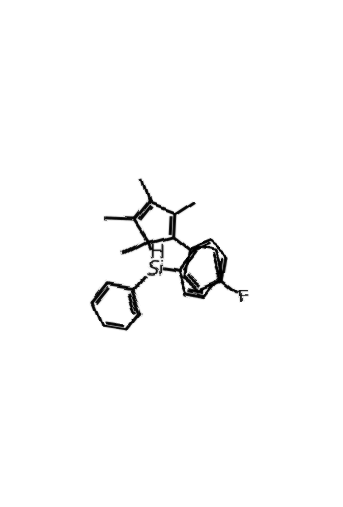 CC1=C(C)C(C)([SiH](c2ccccc2)c2ccccc2)C(c2ccc(F)cc2)=C1C